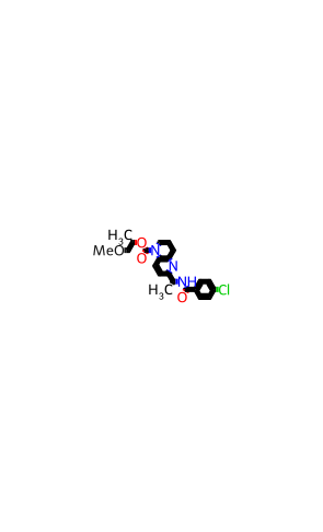 COC[C@H](C)OC(=O)N1CCCc2nc(C(C)NC(=O)c3ccc(Cl)cc3)ccc21